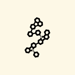 c1ccc(-n2c3ccccc3c3ccc(-c4ccc5c6ccc7ccccc7c6n(-c6cccc(-c7ccccc7-c7ccc8c(c7)-c7cccc9cccc-8c79)c6)c5c4)cc32)cc1